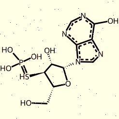 OC[C@H]1O[C@@H](n2cnc3c(O)ncnc32)[C@@H](O)[C@@H]1[SH]=P(O)(O)O